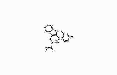 CNC(=O)[C@@H]1Cc2c([nH]c3ccccc23)[C@@H](c2ccc(C)cc2C)N1